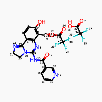 COc1c(O)ccc2c1N=C(NC(=O)c1cccnc1)N1CCN=C21.O=C(O)C(F)(F)F.O=C(O)C(F)(F)F